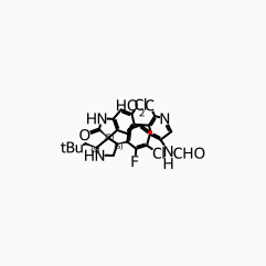 CC(C)(C)C[C@@H]1NC[C@H](c2cccc(Cl)c2F)[C@]12C(=O)Nc1cc(Cl)c(-c3cc(NC=O)cnc3C(=O)O)cc12